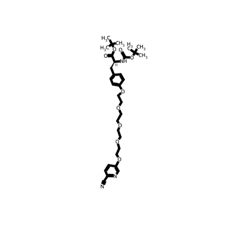 CC(C)(C)OC(=O)N[C@@H](Cc1ccc(OCCOCCOCCOCCOc2ccc(C#N)nc2)cc1)C(=O)OC(C)(C)C